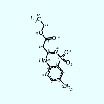 Bc1cnc2c(c1)S(=O)(=O)N=C(CC(=O)OCC)N2